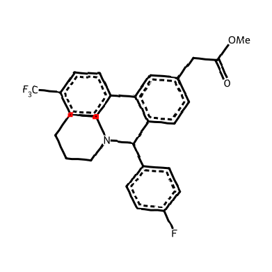 COC(=O)Cc1ccc(C(c2ccc(F)cc2)N2CCCCC2)c(-c2ccc(C(F)(F)F)cc2)c1